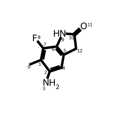 Cc1c(N)cc2c(c1F)NC(=O)C2